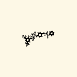 O=C(Nc1ccccc1)OCC1CCC(CNS(=O)(=O)NC(=O)c2cc(C(F)(F)F)cc(C(F)(F)F)c2)CC1